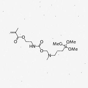 C=C(C)C(=O)OCCNC(=O)OCN(C)CCC[Si](OC)(OC)OC